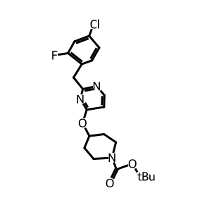 CC(C)(C)OC(=O)N1CCC(Oc2ccnc(Cc3ccc(Cl)cc3F)n2)CC1